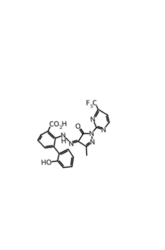 CC1=NN(c2nccc(C(F)(F)F)n2)C(=O)C1=NNc1c(C(=O)O)cccc1-c1ccccc1O